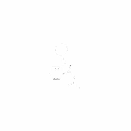 O=C(O)Cn1c(=O)n(C2CCSCC2)c2ccccc21